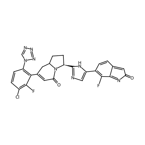 O=C1C=c2ccc(-c3cnc([C@@H]4CCC5CC(c6c(-n7cnnn7)ccc(Cl)c6F)=CC(=O)N54)[nH]3)c(F)c2=N1